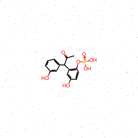 CC(=O)C(c1cccc(O)c1)c1cc(O)ccc1OP(=O)(O)O